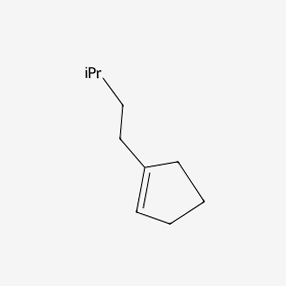 CC(C)CCC1=CCCC1